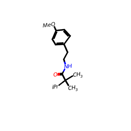 COc1ccc(CCNC(=O)C(C)(C)C(C)C)cc1